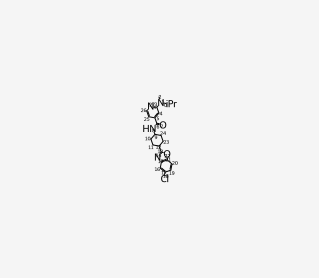 CC(C)N(C)c1cc(C(=O)NC2CCC(c3nc4cc(Cl)ccc4o3)CC2)ccn1